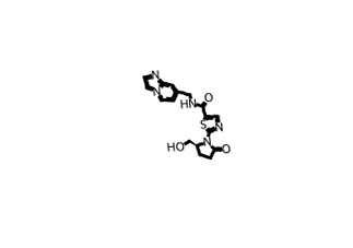 O=C(NCc1ccn2ccnc2c1)c1cnc(N2C(=O)CC[C@H]2CO)s1